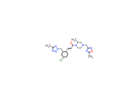 Cc1nnn(Cc2cc(Cl)ccc2/C=C/C(=O)N2CCN(Cc3noc(C)n3)CC2C)n1